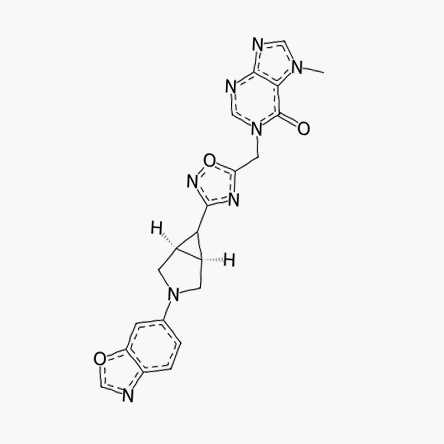 Cn1cnc2ncn(Cc3nc(C4[C@H]5CN(c6ccc7ncoc7c6)C[C@@H]45)no3)c(=O)c21